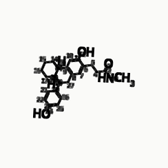 CNC(=O)CCc1cc2c(cc1O)[C@@H]1CCCC[C@@H]1[C@H](c1ccc(O)cc1)C2